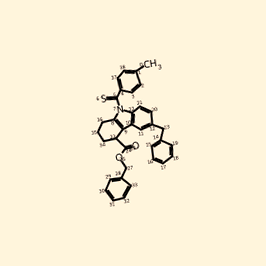 Cc1ccc(C(=S)n2c3c(c4cc(Cc5ccccc5)ccc42)C(C(=O)OCc2ccccc2)CCC3)cc1